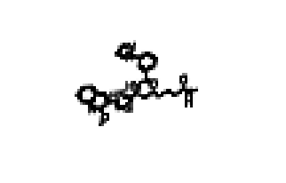 CNC(=O)CCCCC[C@H](NC(=O)c1cccc(-n2cccn2)c1)c1ncc(-c2cc3ccccc3nc2OC)[nH]1